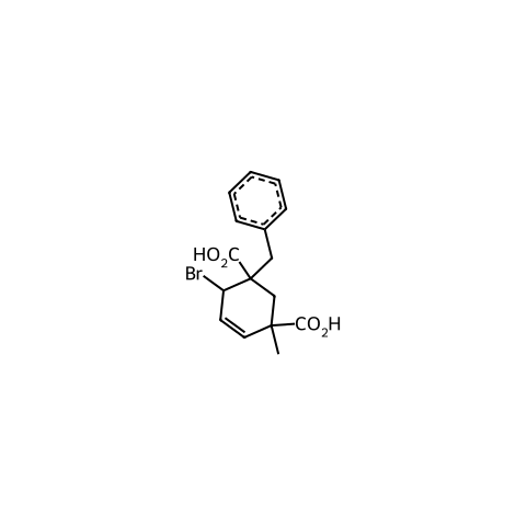 CC1(C(=O)O)C=CC(Br)C(Cc2ccccc2)(C(=O)O)C1